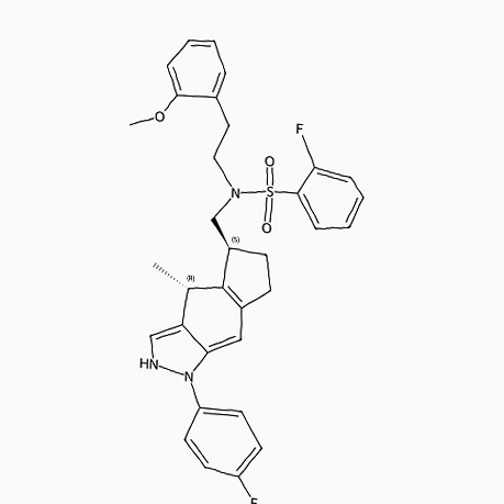 COc1ccccc1CCN(C[C@H]1CCC2=C1[C@@H](C)C1=CNN(c3ccc(F)cc3)C1=C2)S(=O)(=O)c1ccccc1F